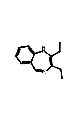 CCC1=C(CC)Nc2ccccc2C=N1